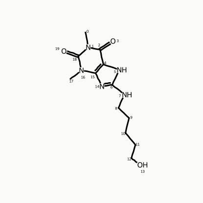 Cn1c(=O)c2[nH]c(NCCCCCO)nc2n(C)c1=O